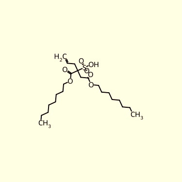 C=CCC(CC(=O)OCCCCCCCC)(C(=O)OCCCCCCCC)S(=O)(=O)O